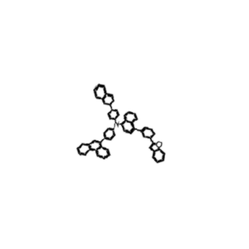 c1cc(-c2cc3ccccc3o2)cc(-c2ccc(N(c3ccc(-c4ccc5ccccc5c4)cc3)c3ccc(-c4cc5ccccc5c5ccccc45)cc3)c3ccccc23)c1